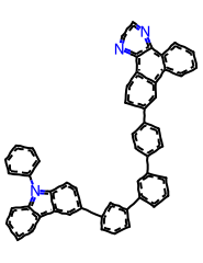 c1ccc(-n2c3ccccc3c3cc(-c4cccc(-c5cccc(-c6ccc(-c7ccc8c(c7)c7ccccc7c7nccnc87)cc6)c5)c4)ccc32)cc1